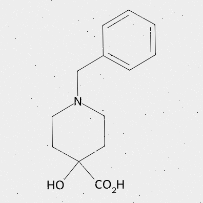 O=C(O)C1(O)CCN(Cc2ccccc2)CC1